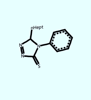 CCCCCCCC1N=NC(=S)N1c1ccccc1